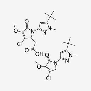 COC1=C(Cl)C(CC(=O)O)N(c2cc(C(C)(C)C)n(C)n2)C1=O.COC1=C(Cl)CN(c2cc(C(C)(C)C)n(C)n2)C1=O